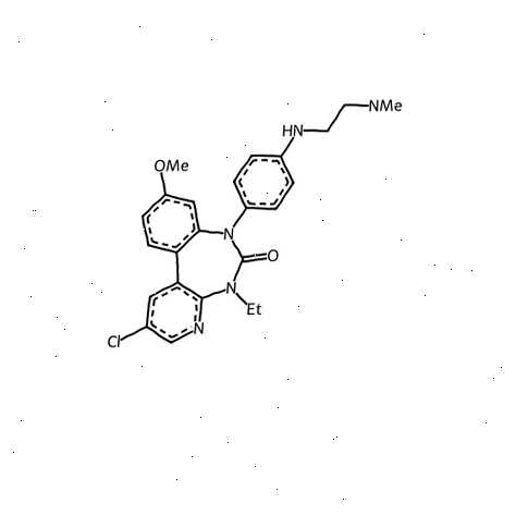 CCN1C(=O)N(c2ccc(NCCNC)cc2)c2cc(OC)ccc2-c2cc(Cl)cnc21